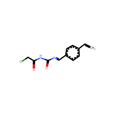 C=Cc1ccc(/C=N/C(=O)NC(=O)CCl)cc1